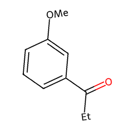 [CH2]CC(=O)c1cccc(OC)c1